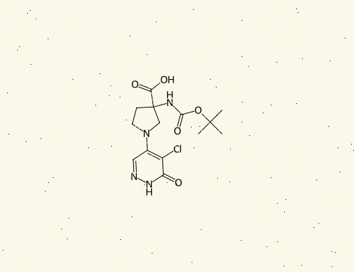 CC(C)(C)OC(=O)NC1(C(=O)O)CCN(c2cn[nH]c(=O)c2Cl)C1